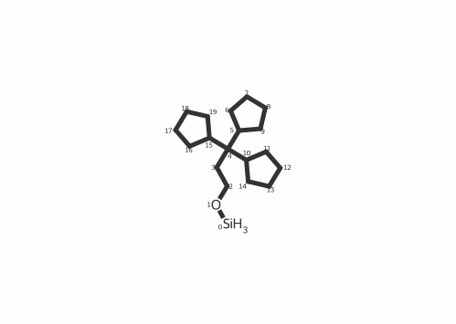 [SiH3]OCCC(C1CCCC1)(C1CCCC1)C1CCCC1